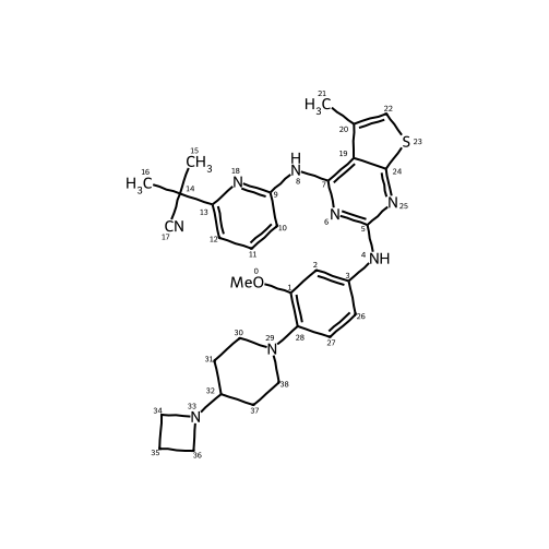 COc1cc(Nc2nc(Nc3cccc(C(C)(C)C#N)n3)c3c(C)csc3n2)ccc1N1CCC(N2CCC2)CC1